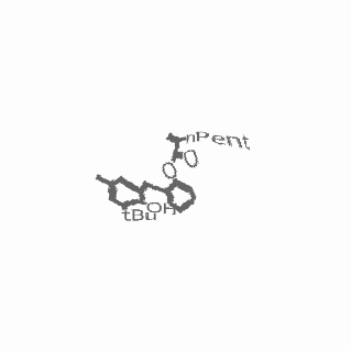 C=C(CCCCC)C(=O)Oc1ccccc1Cc1cc(C)cc(C(C)(C)C)c1O